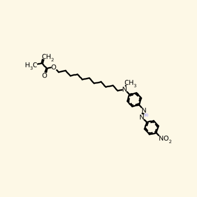 C=C(C)C(=O)OCCCCCCCCCCCN(C)c1ccc(/N=N/c2ccc([N+](=O)[O-])cc2)cc1